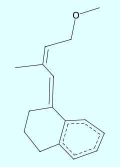 COC/C=C(C)\C=C1/CCCc2ccccc21